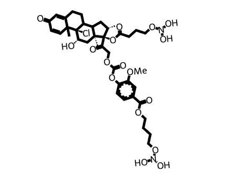 COc1cc(C(=O)OCCCCON(O)O)ccc1OC(=O)OCC(=O)[C@@]1(OC(=O)CCCON(O)O)[C@@H](C)CC2C3CCC4=CC(=O)C=CC4(C)[C@@]3(Cl)[C@@H](O)C[C@@]21C